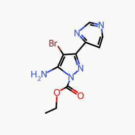 CCOC(=O)n1nc(-c2ccncn2)c(Br)c1N